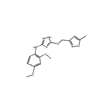 COc1ccc(Nc2n[nH]c(SCc3cc(C)on3)n2)c(OC)c1